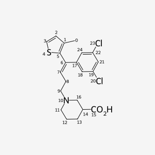 Cc1ccsc1C(=CCCN1CCCC(C(=O)O)C1)c1cc(Cl)cc(Cl)c1